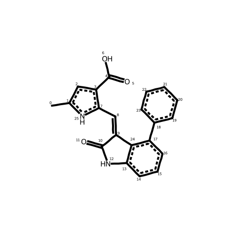 Cc1cc(C(=O)O)c(/C=C2\C(=O)Nc3cccc(-c4ccccc4)c32)[nH]1